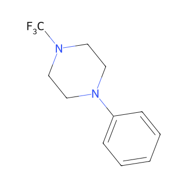 FC(F)(F)N1CCN(c2ccccc2)CC1